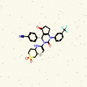 CC=C(NC1CCS(=O)(=O)CC1)N1C(=O)N(c2cccc(C(F)(F)F)c2)C2=C(C(=O)CC2)[C@H]1c1ccc(C#N)cc1